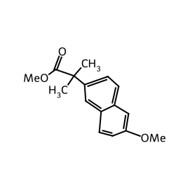 COC(=O)C(C)(C)c1ccc2cc(OC)ccc2c1